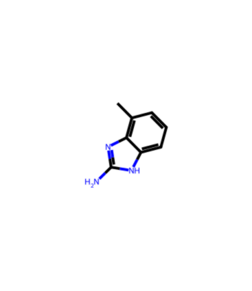 Cc1cccc2[nH]c(N)nc12